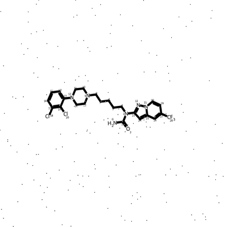 NC(=O)N(CCCCCN1CCN(c2cccc(Cl)c2Cl)CC1)c1cc2cc(C(F)(F)F)ccn2n1